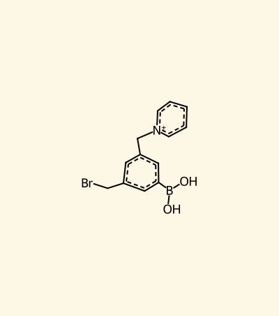 OB(O)c1cc(CBr)cc(C[n+]2ccccc2)c1